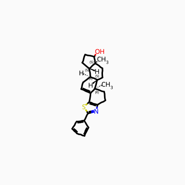 C[C@]12CCc3nc(-c4ccccc4)sc3C1=CC[C@@H]1[C@@H]2CC[C@]2(C)C(O)CC[C@@H]12